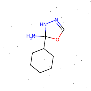 NC1(C2CCCCC2)NN=CO1